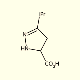 CC(C)C1=NNC(C(=O)O)C1